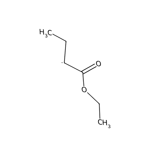 CC[CH]C(=O)OCC